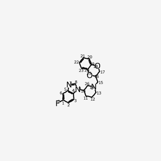 Fc1ccc2c(c1)ncn2C1CCCN(CC2COc3ccccc3O2)C1